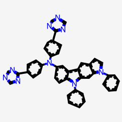 c1ccc(-n2ccc3cc4c5cc(N(c6ccc(-c7ncncn7)cc6)c6ccc(-c7ncncn7)cc6)ccc5n(-c5ccccc5)c4cc32)cc1